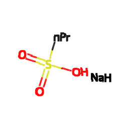 [CH2]CCS(=O)(=O)O.[NaH]